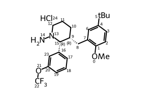 COc1ccc(C(C)(C)C)cc1C[C@H]1CCCN(N)[C@H]1c1cccc(OC(F)(F)F)c1.Cl